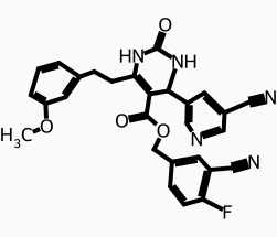 COc1cccc(CCC2=C(C(=O)OCc3ccc(F)c(C#N)c3)C(c3cncc(C#N)c3)NC(=O)N2)c1